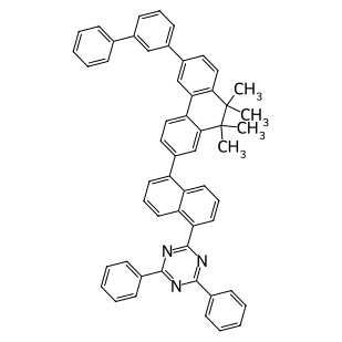 CC1(C)c2ccc(-c3cccc(-c4ccccc4)c3)cc2-c2ccc(-c3cccc4c(-c5nc(-c6ccccc6)nc(-c6ccccc6)n5)cccc34)cc2C1(C)C